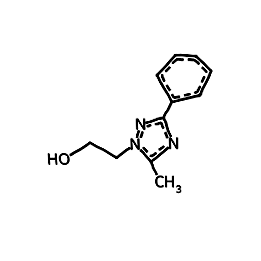 Cc1nc(-c2ccccc2)nn1CCO